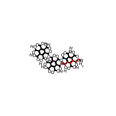 CCCCCCCOC(=O)c1c(C(=O)O)c(C(=O)O)c(C(=O)O)c(C(=O)OC(=O)c2c(C(=O)O)c(C(=O)O)c(C(=O)O)c(C(=O)O)c2C(=O)O)c1C(=O)OC(=O)c1c(C(=O)O)c(C(=O)O)c(C(=O)O)c(C(=O)O)c1C(=O)O